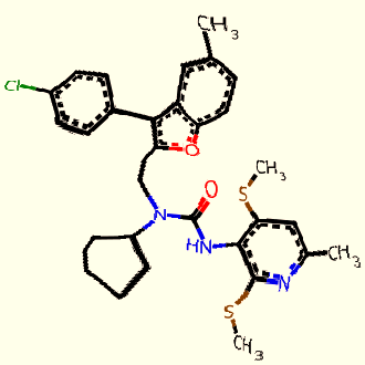 CSc1cc(C)nc(SC)c1NC(=O)N(Cc1oc2ccc(C)cc2c1-c1ccc(Cl)cc1)C1CCCC1